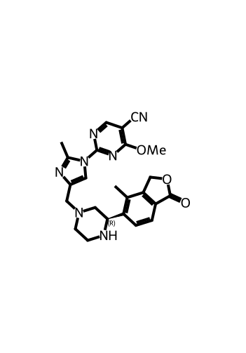 COc1nc(-n2cc(CN3CCN[C@H](c4ccc5c(c4C)COC5=O)C3)nc2C)ncc1C#N